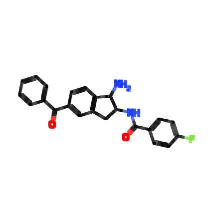 NC1c2ccc(C(=O)c3ccccc3)cc2CC1NC(=O)c1ccc(F)cc1